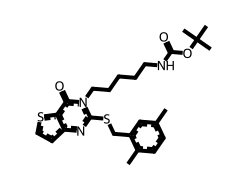 Cc1ccc(C)c(CSc2nc3ccsc3c(=O)n2CCCCCNC(=O)OC(C)(C)C)c1